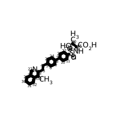 Cc1c(CCc2ccc(-c3ccc(S(=O)(=O)N[C@@H](C(=O)O)C(C)O)cc3)cc2)ncc2ccccc12